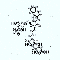 CS(=O)(=O)OCC(CO)(CO)COCC(=O)NC(Cc1ccc2ccccc2c1)C(=O)NCCCCC(NC(=O)NC(CC(=O)O)C(=O)O)C(=O)O